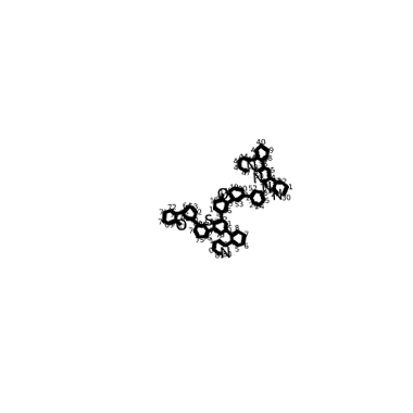 c1ccc(-c2ccccc2-c2cc(-c3ccc4oc5ccc(-c6cccc(-n7c8ncccc8c8cc(-c9ccccc9-c9ccccn9)cnc87)c6)cc5c4c3)c3sc4c(-c5cccc6c5oc5ccccc56)cccc4c3c2)nc1